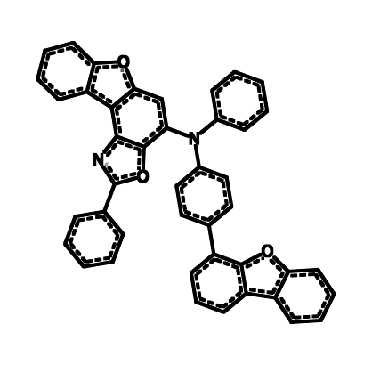 c1ccc(-c2nc3c(o2)c(N(c2ccccc2)c2ccc(-c4cccc5c4oc4ccccc45)cc2)cc2oc4ccccc4c23)cc1